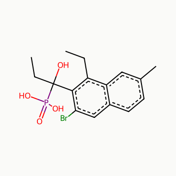 CCc1c(C(O)(CC)P(=O)(O)O)c(Br)cc2ccc(C)cc12